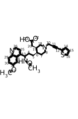 CONC(CC[C@@H]1CCN(CC#Cc2cccs2)C[C@@H]1CC(=O)O)c1ccnc2ccc(OC)cc12